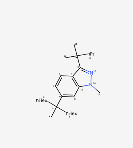 CCCCCCC(C)(CCCCCC)c1ccc2c(C(C)(C)CCC)nn(C)c2c1